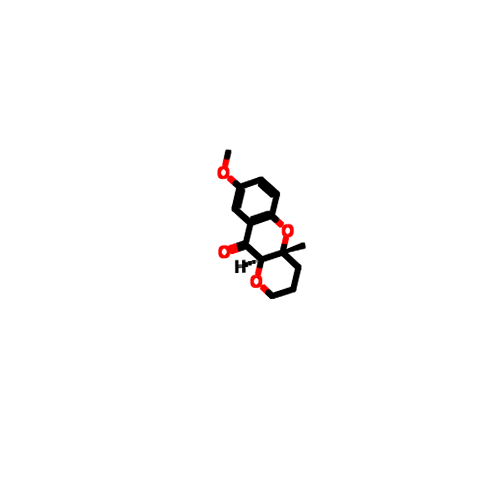 COc1ccc2c(c1)C(=O)[C@@H]1OCCC[C@@]1(C)O2